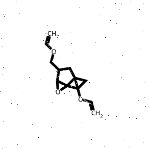 C=COCC1CC23CC2(OC=C)C32OC12